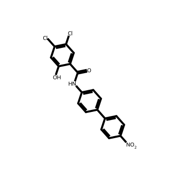 O=C(Nc1ccc(-c2ccc([N+](=O)[O-])cc2)cc1)c1cc(Cl)c(Cl)cc1O